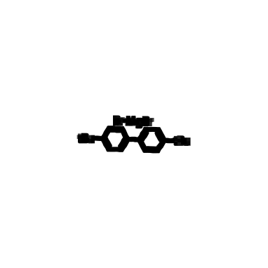 CC(C)(C)c1ccc(-c2ccc(C(C)(C)C)cc2)cc1.[Br][Mg][Br]